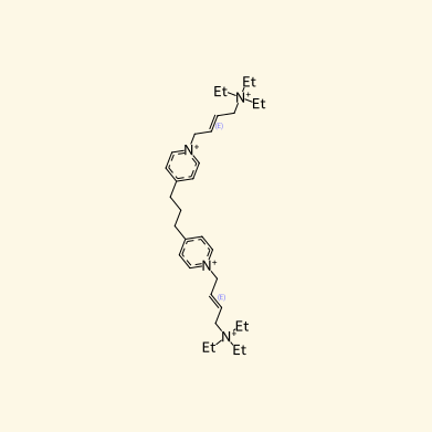 CC[N+](CC)(CC)C/C=C/C[n+]1ccc(CCCc2cc[n+](C/C=C/C[N+](CC)(CC)CC)cc2)cc1